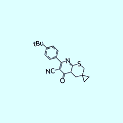 CC(C)(C)c1ccc(C2=C(C#N)C(=O)C3CC4(CC4)CSC3=N2)cc1